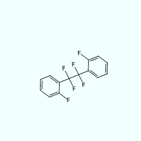 Fc1ccccc1C(F)(F)C(F)(F)c1ccccc1F